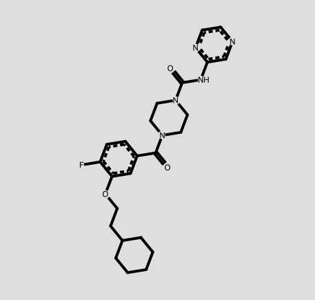 O=C(Nc1cnccn1)N1CCN(C(=O)c2ccc(F)c(OCCC3CCCCC3)c2)CC1